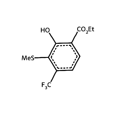 CCOC(=O)c1ccc(C(F)(F)F)c(SC)c1O